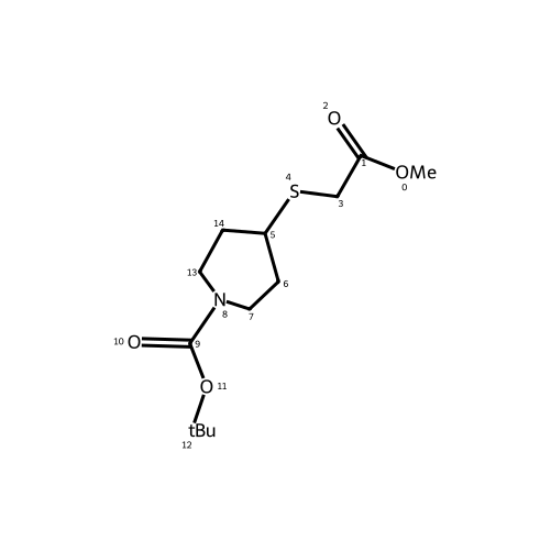 COC(=O)CSC1CCN(C(=O)OC(C)(C)C)CC1